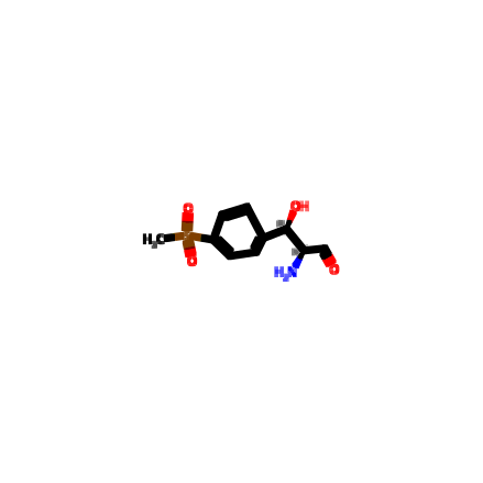 CS(=O)(=O)c1ccc([C@@H](O)[C@H](N)C=O)cc1